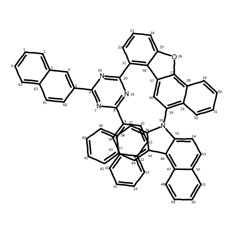 c1ccc2cc(-c3nc(-c4ccc5ccccc5c4)nc(-c4cccc5oc6c7ccccc7c(-n7c8cc9ccccc9cc8c8c9ccccc9ccc87)cc6c45)n3)ccc2c1